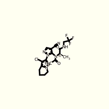 CC(=O)N(c1c(C#N)cnn1-c1nn2c(c1Cl)CCCC2)[C@H](C)C(=O)NCC(F)(F)F